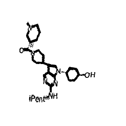 CCC[C@H](C)Nc1ncc2c(C3CCN(C(=O)[C@H]4CCCN(C)C4)CC3)cn([C@H]3CC[C@H](O)CC3)c2n1